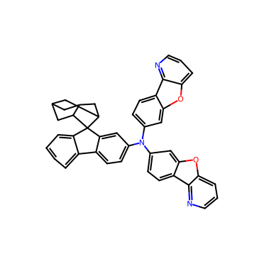 c1ccc2c(c1)-c1ccc(N(c3ccc4c(c3)oc3cccnc34)c3ccc4c(c3)oc3cccnc34)cc1C21C2CC3CC(C2)C1C3